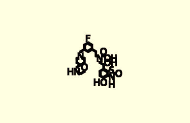 O=C(O)N(CCc1cc(F)cc(CN2CCC3(CC2)CNCCO3)c1)CC(O)c1ccc(O)c2[nH]c(=O)sc12